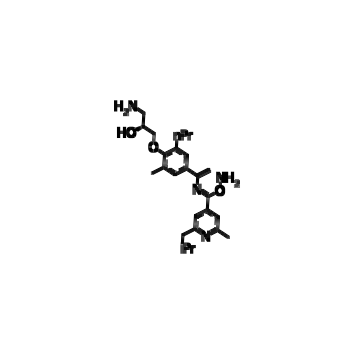 C=C(/N=C(\ON)c1cc(C)nc(CC(C)C)c1)c1cc(C)c(OC[C@@H](O)CN)c(CCC)c1